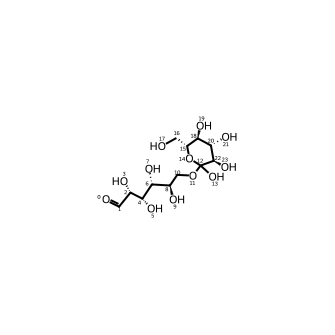 O=C[C@H](O)[C@@H](O)[C@H](O)[C@H](O)COC1(O)O[C@H](CO)[C@@H](O)[C@H](O)[C@H]1O